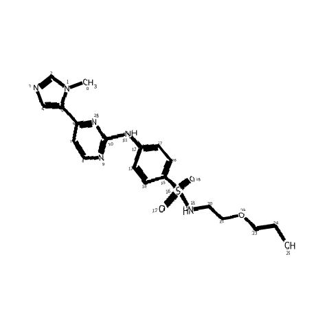 Cn1cncc1-c1ccnc(Nc2ccc(S(=O)(=O)NCCOCCO)cc2)n1